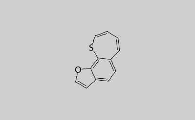 C1=CSc2c(ccc3ccoc23)C=C1